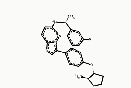 C[C@@H](Nc1ccc2ncc(-c3ccc(O[C@@H]4CCC[C@H]4N)cc3)n2n1)c1cccc(F)c1